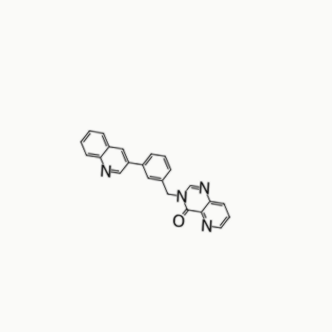 O=c1c2ncccc2ncn1Cc1cccc(-c2cnc3ccccc3c2)c1